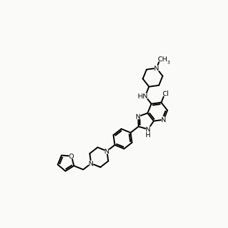 CN1CCC(Nc2c(Cl)cnc3[nH]c(-c4ccc(N5CCN(Cc6ccco6)CC5)cc4)nc23)CC1